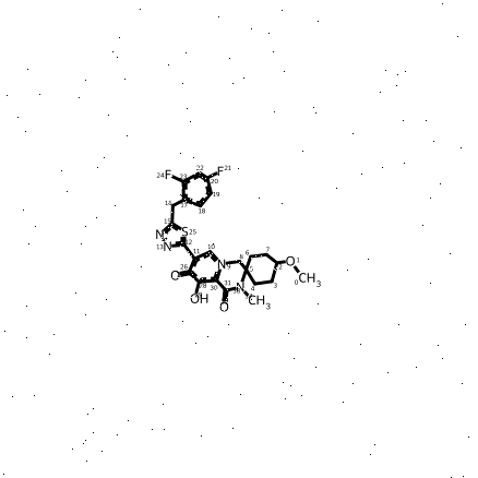 COC1CCC2(CC1)Cn1cc(-c3nnc(Cc4ccc(F)cc4F)s3)c(=O)c(O)c1C(=O)N2C